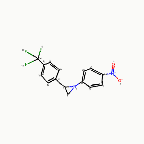 O=[N+]([O-])c1ccc(N2CC2c2ccc(C(F)(F)F)cc2)cc1